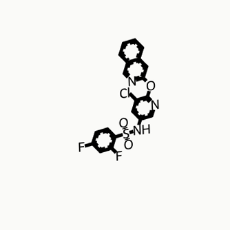 O=S(=O)(Nc1cnc(Oc2cc3ccccc3cn2)c(Cl)c1)c1ccc(F)cc1F